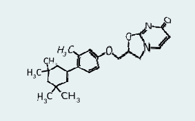 Cc1cc(OCC2Cn3ccc(=O)nc3O2)ccc1C1CC(C)(C)CC(C)(C)C1